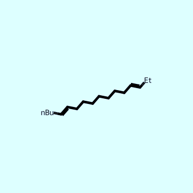 [CH2]C/C=C/CCCCCCC/C=C/CCCC